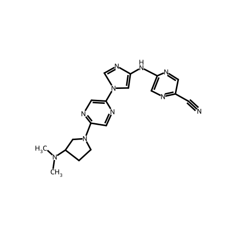 CN(C)C1CCN(c2cnc(-n3cnc(Nc4cnc(C#N)cn4)c3)cn2)C1